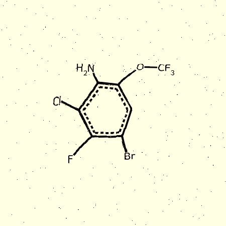 Nc1c(OC(F)(F)F)cc(Br)c(F)c1Cl